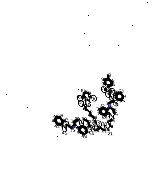 Cc1ccc(S(=O)(=O)O[n+]2c(/C=C3\C=CN(CCC[N+](C)(C)CC(C[N+](C)(C)CCCN4C=C/C(=C\c5sc6ccccc6[n+]5C)c5ccccc54)OCCCCCC(=O)ON4C(=O)CCC4=O)c4ccccc43)sc3ccccc32)cc1